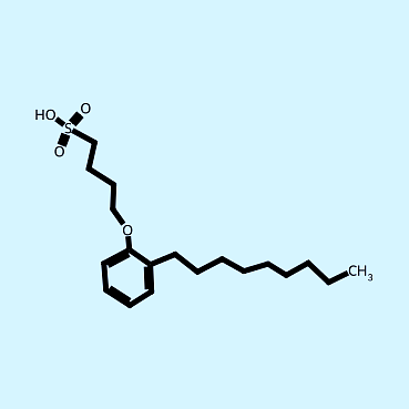 CCCCCCCCCc1ccccc1OCCCCS(=O)(=O)O